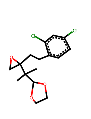 CC(C)(C1OCCO1)C1(CCc2ccc(Cl)cc2Cl)CO1